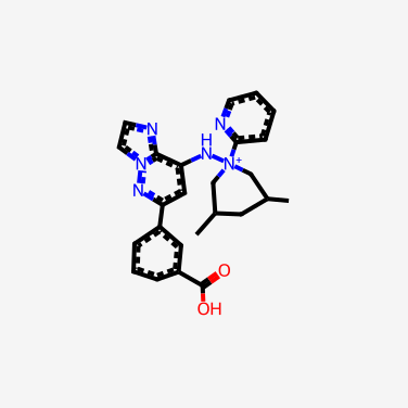 CC1CC(C)C[N+](Nc2cc(-c3cccc(C(=O)O)c3)nn3ccnc23)(c2ccccn2)C1